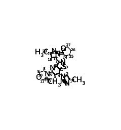 Cc1cn(-c2cc(N3CCOC[C@H]3C)nc3c(-c4cc(C)nn4C4CCCCO4)nsc23)nn1